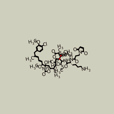 CNC(=O)CC(OC(=O)[C@H](C)N(C)C(=O)C(CSC)NC(=O)[C@@H](CCCCN)NC(=O)CCN1C(=O)C=CC1=O)C1(C)OC1C(C)C1CC(O)(C(/C=C/C=C(\C)Cc2ccc(Cl)c(OC)c2)OC)NC(=O)O1